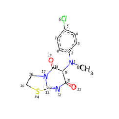 CN(c1ccc(Cl)cc1)C1C(=O)N=C2SCCN2C1=O